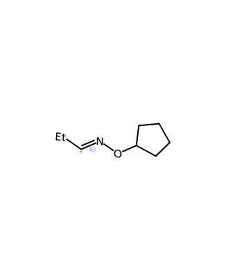 CC/[C]=N/OC1CCCC1